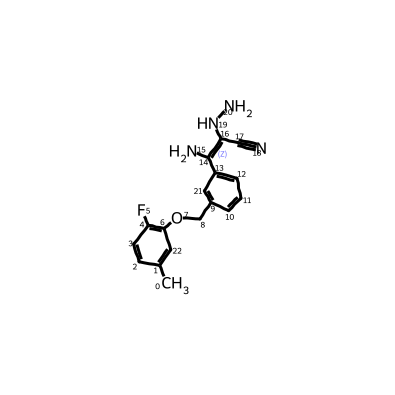 Cc1ccc(F)c(OCc2cccc(/C(N)=C(\C#N)NN)c2)c1